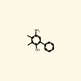 Cc1c(N)cc(-c2ccccc2)c(O)c1C